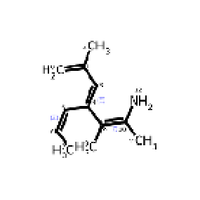 C=C(C)/C=C(\C=C/C)C(/C)=C(/C)N